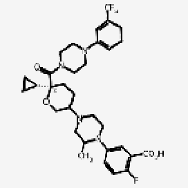 CC1CN(C2CC[C@@](C(=O)N3CCN(C4=CCCC(C(F)(F)F)=C4)CC3)(C3CC3)OC2)CCN1c1ccc(F)c(C(=O)O)c1